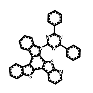 c1ccc(-c2nc(-c3ccccc3)nc(-n3c4ccccc4c4c5c6ccccc6sc5c5c6cccnc6sc5c43)n2)cc1